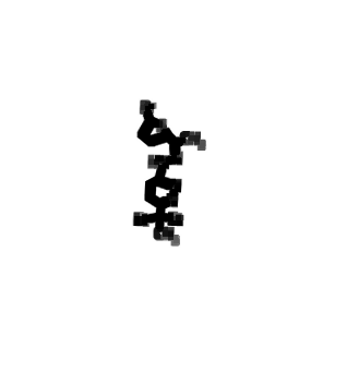 CCC(C)(CC)c1ccc(NN=C(C)c2ccc(Br)s2)nn1